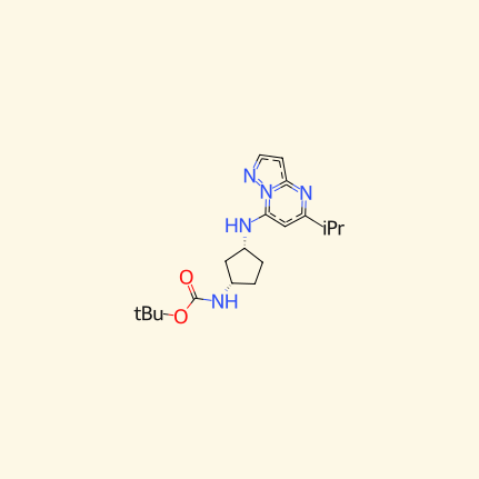 CC(C)c1cc(N[C@@H]2CC[C@H](NC(=O)OC(C)(C)C)C2)n2nccc2n1